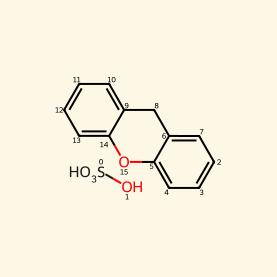 O=S(=O)(O)O.c1ccc2c(c1)Cc1ccccc1O2